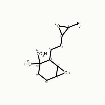 CCC1OC1CCC1C2OC2CCC1(C)C(=O)O